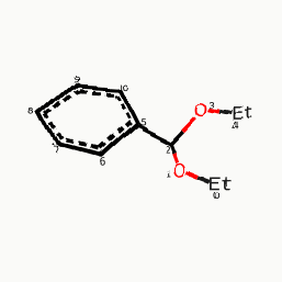 CCOC(OCC)c1c[c]ccc1